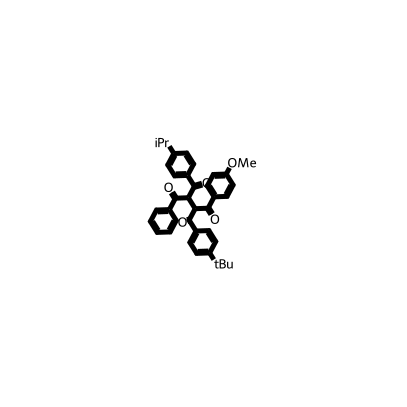 COc1ccc(C(=O)C(C(=O)c2ccc(C(C)(C)C)cc2)C(C(=O)c2ccccc2)C(=O)c2ccc(C(C)C)cc2)cc1